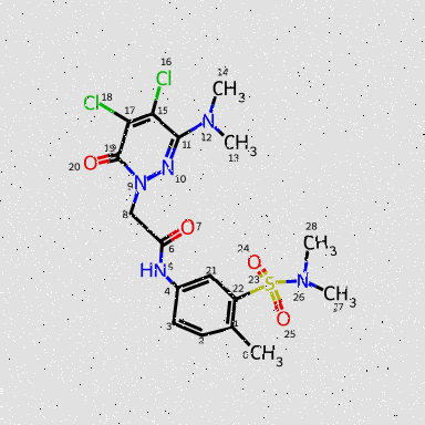 Cc1ccc(NC(=O)Cn2nc(N(C)C)c(Cl)c(Cl)c2=O)cc1S(=O)(=O)N(C)C